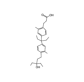 CCC(O)(CC)CCc1ccc(C(CC)(CC)c2ccc(CCC(=O)O)c(C)c2)cc1C